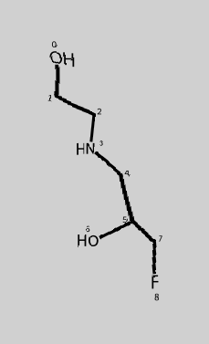 OCCNCC(O)CF